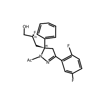 CC(=O)N1N=C(c2cc(F)ccc2F)C[C@@]1(C[C@H](F)CO)c1ccccc1